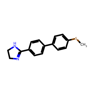 CSc1ccc(-c2ccc(C3=NCCN3)cc2)cc1